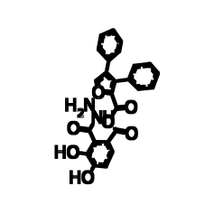 NNC(=O)c1c(C(=O)OC(=O)c2occ(-c3ccccc3)c2-c2ccccc2)ccc(O)c1O